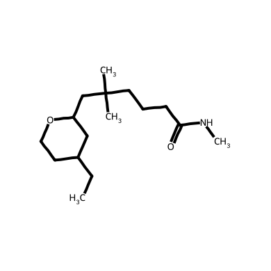 CCC1CCOC(CC(C)(C)CCCC(=O)NC)C1